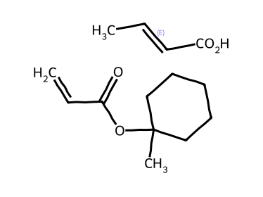 C/C=C/C(=O)O.C=CC(=O)OC1(C)CCCCC1